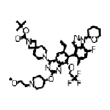 C=Cc1cc2c(N3CCC4(CC3)CN(C(=O)OC(C)(C)C)C4)nc(OC3CCN(CCOC)CC3)nc2c(OCC(F)(F)F)c1-c1c(C)cc(F)c2c1cnn2C1CCCCO1